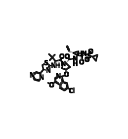 C=C[C@@H]1C[C@]1(NC(=O)[C@@H]1C[C@@H](Oc2ncc(OC)c3ccc(Cl)cc23)CN1C(=O)[C@@H](NC1=NC(c2cnccn2)CS1)C(C)(C)C)C(=O)NS(=O)(=O)C1CC1